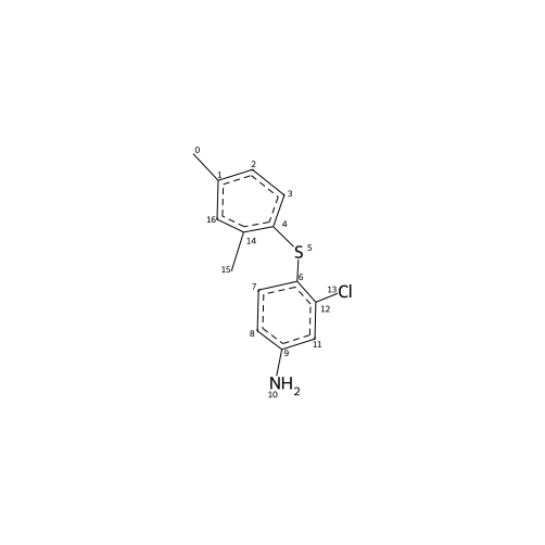 Cc1ccc(Sc2ccc(N)cc2Cl)c(C)c1